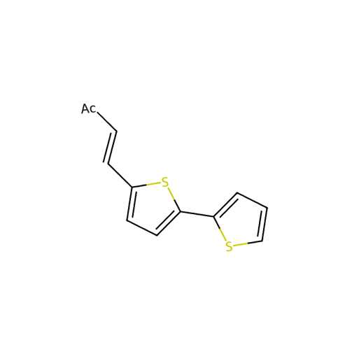 CC(=O)C=Cc1ccc(-c2cccs2)s1